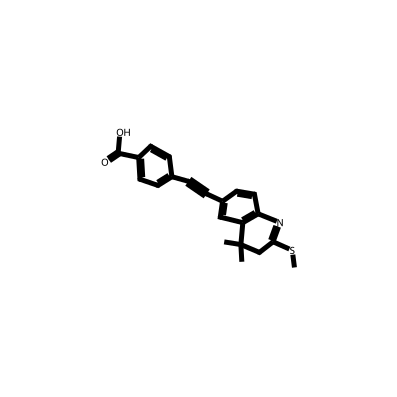 CSC1=Nc2ccc(C#Cc3ccc(C(=O)O)cc3)cc2C(C)(C)C1